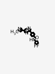 Cn1cc(-c2cnc3c(-c4ccc(C(=O)NC5CCC(F)(F)C5)cc4)cnn3c2)cn1